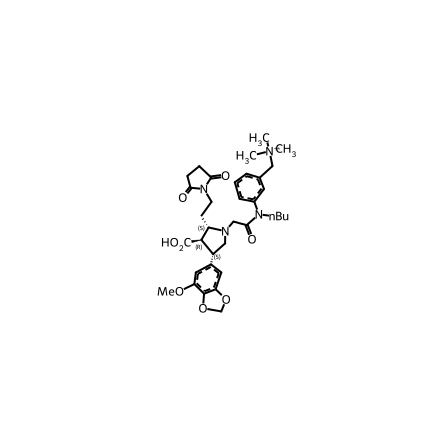 CCCCN(C(=O)CN1C[C@H](c2cc(OC)c3c(c2)OCO3)[C@@H](C(=O)O)[C@@H]1CCN1C(=O)CCC1=O)c1cccc(C[N+](C)(C)C)c1